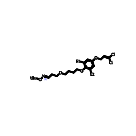 CCc1cc(OCC=C(Cl)Cl)cc(CC)c1OCCCCOCC/C=N/OC(C)(C)C